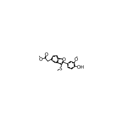 COC(=O)Cc1ccc2oc(-c3ccc(O)c(OC)c3)c(SC)c2c1